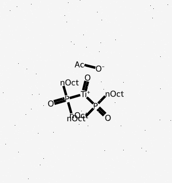 CC(=O)[O-].CCCCCCCC[P](=O)(CCCCCCCC)[Ti+](=[O])[P](=O)(CCCCCCCC)CCCCCCCC